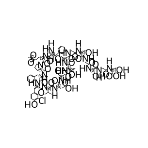 CN[C@@H](Cc1ccccc1)C(=O)N[C@@H](CCS(C)(=O)=O)C(=O)N1CCC[C@H]1C(=O)N(C)[C@@H](Cc1ccccc1)C(=O)N[C@H](Cc1ccc(O)c(Cl)c1)C(=O)N[C@H](C(=O)N[C@@H](CC(=O)O)C(=O)N[C@@H](CO)C(=O)N[C@H](C(=O)N[C@@H](CO)C(=O)NCC(=O)N[C@@H](CO)C(=O)NCC(=O)N[C@@H](CO)C(=O)NCC(=O)N[C@@H](CO)C(=O)O)[C@@H](C)O)C(C)C